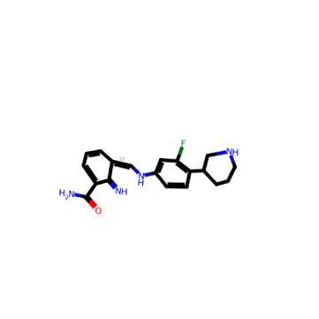 N=C1C(C(N)=O)=CC=C/C1=C/Nc1ccc(C2CCCNC2)c(F)c1